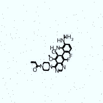 C=CC(=O)N1CCN(c2ncnc3c(F)c(-c4c(F)ccc(NN)c4N)c(Cl)c(OC)c23)CC1